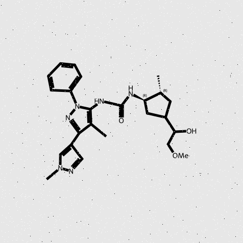 COCC(O)C1C[C@@H](C)[C@H](NC(=O)Nc2c(C)c(-c3cnn(C)c3)nn2-c2ccccc2)C1